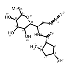 CCC[C@@H]1C[C@@H](C(=O)N[C@H](CN=[N+]=[N-])[C@H]2OC(SC)[C@H](O)C(O)C2O)N(C)C1